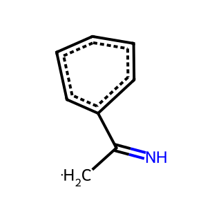 [CH2]C(=N)c1ccccc1